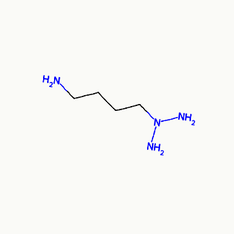 NCCCCN(N)N